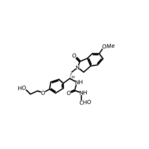 COc1ccc2c(c1)C(=O)N(C[C@H](NC(=O)NC=O)c1ccc(OCCO)cc1)C2